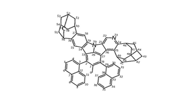 Cc1c(-c2cccc3ccccc23)c2c3cc4c(cc3n3c5cnc6c(c5c(c1-c1cccc5ccccc15)c23)C1CC2CC3CC6CC32C1)C1CC2CC(CC4C2)C1